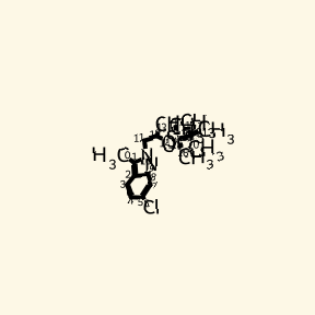 Cc1c2ccc(Cl)cc2nn1CC(C)O[Si](C)(C)C(C)(C)C